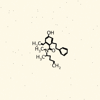 C=CCCC(C)N(C)C(=O)c1c(C=C)cc(O)cc1CCc1ccccc1